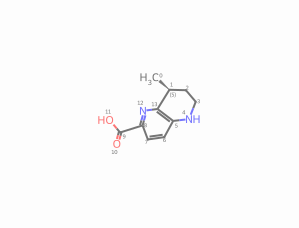 C[C@H]1CCNc2ccc(C(=O)O)nc21